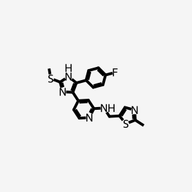 CSc1nc(-c2ccnc(NCc3cnc(C)s3)c2)c(-c2ccc(F)cc2)[nH]1